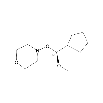 CO[C@@H](ON1CCOCC1)C1CCCC1